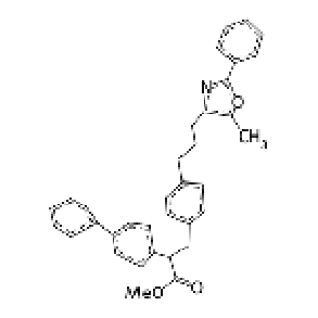 COC(=O)C(Cc1ccc(CCCc2nc(-c3ccccc3)oc2C)cc1)c1ccc(-c2ccccc2)cc1